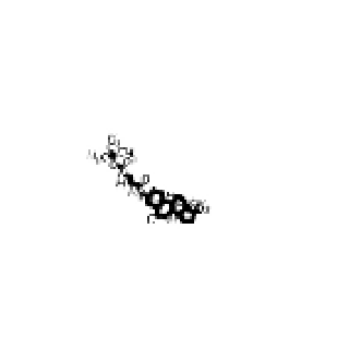 CC(C)(C)OC(=O)NCCC(=O)NC1CC[C@@]2(C)C(C1)C(=O)C[C@@H]1[C@H]2CC[C@]2(C)C(=O)CC[C@@H]12